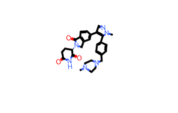 CN1CCN(Cc2ccc(-c3c(-c4ccc5c(c4)CN([C@H]4CCC(=O)NC4=O)C5=O)cnn3C)cc2)CC1